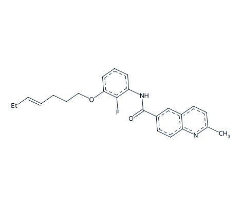 CCC=CCCCOc1cccc(NC(=O)c2ccc3nc(C)ccc3c2)c1F